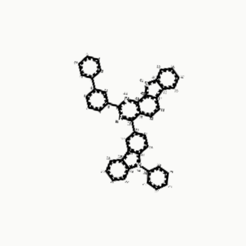 c1ccc(-c2cccc(-c3nc(-c4ccc5c(c4)c4ccccc4n5-c4ccccc4)c4ccc5c6ccccc6sc5c4n3)c2)cc1